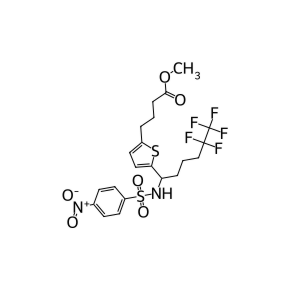 COC(=O)CCCc1ccc(C(CCCC(F)(F)C(F)(F)F)NS(=O)(=O)c2ccc([N+](=O)[O-])cc2)s1